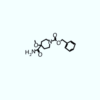 COC1(C(N)=O)CCN(C(=O)OCc2ccccc2)CC1